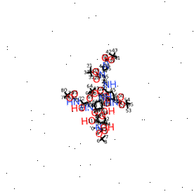 CN(C(=O)OC(C)(C)C)[C@@H]1[C@@H](O)[C@@H](O[C@@H]2[C@@H](O)[C@H](O[C@H]3OC(CNCCN(C(=O)OC(C)(C)C)C4CN(C(=O)OC(C)(C)C)C4)=CC[C@H]3NC(=O)OC(C)(C)C)[C@@H](NC(=O)OC(C)(C)C)C[C@H]2NC(=O)[C@@H](O)CNC(=O)OC(C)(C)C)OC[C@]1(C)O